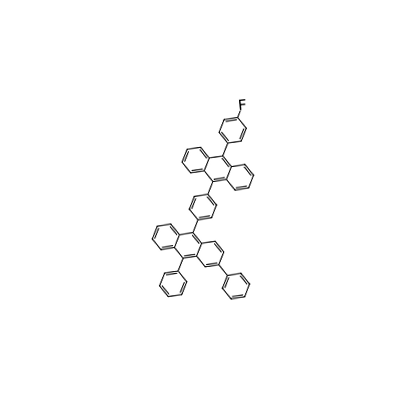 Fc1ccc(-c2c3ccccc3c(-c3ccc(-c4c5ccccc5c(-c5ccccc5)c5cc(-c6ccccc6)ccc45)cc3)c3ccccc23)cc1